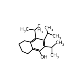 CC(C)c1c(O)c2c(c(C(C)C)c1C(C)C)CCCC2